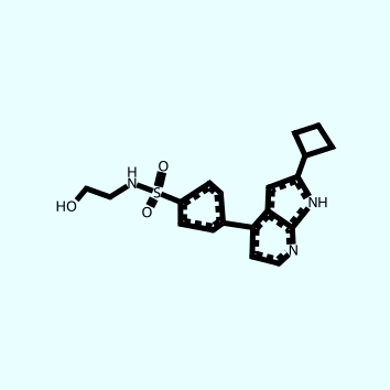 O=S(=O)(NCCO)c1ccc(-c2ccnc3[nH]c(C4CCC4)cc23)cc1